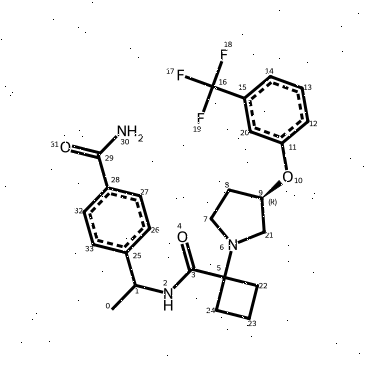 CC(NC(=O)C1(N2CC[C@@H](Oc3cccc(C(F)(F)F)c3)C2)CCC1)c1ccc(C(N)=O)cc1